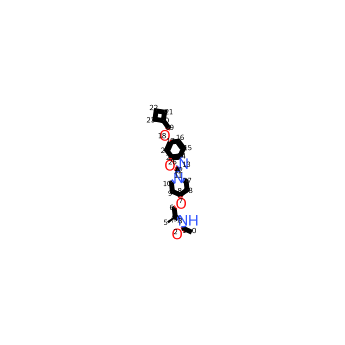 CC(=O)N[C@@H](C)COC1CCN(c2nc3ccc(OCC4CCC4)cc3o2)CC1